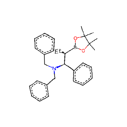 CC[C@@H](B1OC(C)(C)C(C)(C)O1)[C@@H](c1ccccc1)N(Cc1ccccc1)Cc1ccccc1